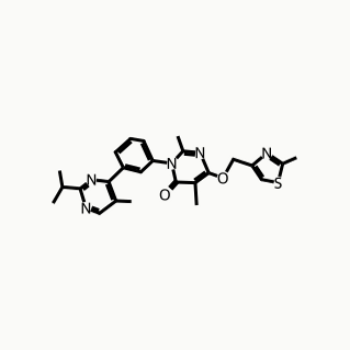 Cc1nc(COc2nc(C)n(-c3cccc(-c4nc(C(C)C)ncc4C)c3)c(=O)c2C)cs1